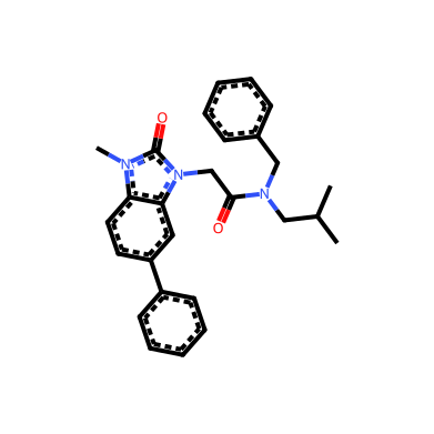 CC(C)CN(Cc1ccccc1)C(=O)Cn1c(=O)n(C)c2ccc(-c3ccccc3)cc21